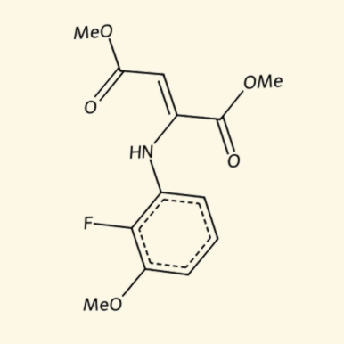 COC(=O)/C=C(\Nc1cccc(OC)c1F)C(=O)OC